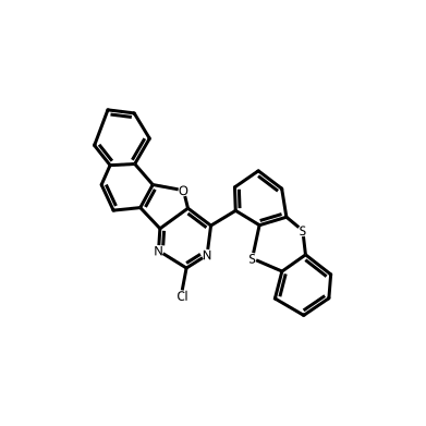 Clc1nc(-c2cccc3c2Sc2ccccc2S3)c2oc3c4ccccc4ccc3c2n1